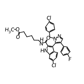 COC(=O)CCCCCNC(=O)c1[nH]c2cc(Cl)ccc2c1-c1c(-c2ccc(F)cc2)cnn1Cc1ccc(Cl)cc1